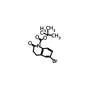 CC(C)(C)OC(=O)N1C(=O)CCc2cc(Br)ccc21